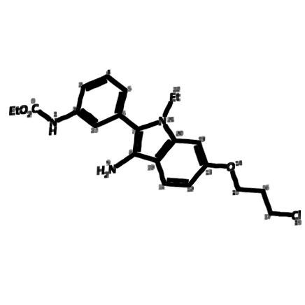 CCOC(=O)Nc1cccc(-c2c(N)c3ccc(OCCCCl)cc3n2CC)c1